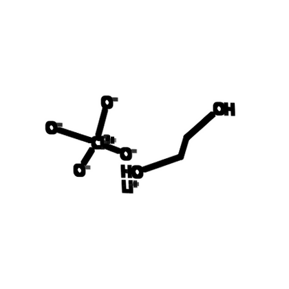 OCCO.[Li+].[O-][Cl+3]([O-])([O-])[O-]